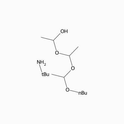 CC(C)(C)N.CCCCOC(C)OC(C)OC(C)O